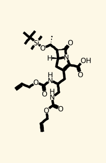 C=CCOC(=O)NCC(CC1=C(C(=O)O)N2C(=O)[C@H]([C@@H](C)O[Si](C)(C)C(C)(C)C)[C@H]2C1)NC(=O)OCC=C